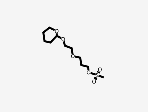 CS(=O)(=O)OCCCOCCOC1CCCCO1